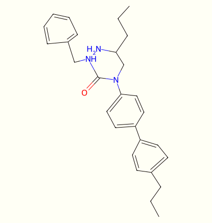 CCCc1ccc(-c2ccc(N(CC(N)CCC)C(=O)NCc3ccccc3)cc2)cc1